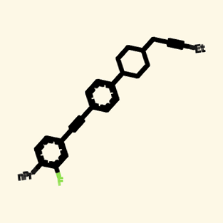 CCC#CCC1CCC(c2ccc(C#Cc3ccc(CCC)c(F)c3)cc2)CC1